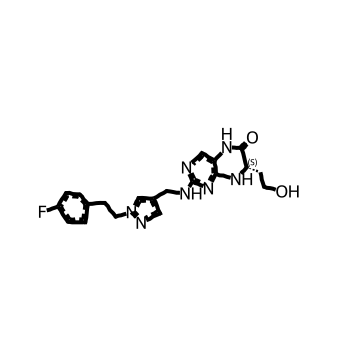 O=C1Nc2cnc(NCc3cnn(CCc4ccc(F)cc4)c3)nc2N[C@H]1CCO